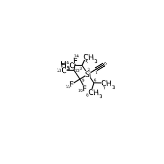 [C]#C[Si](C(C)C)(C(C)C)C(F)(F)C(C)F